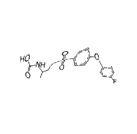 CC(CCS(=O)(=O)c1ccc(Oc2ccc(F)cc2)cc1)NC(=O)O